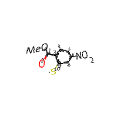 COC(=O)c1ccc([N+](=O)[O-])cc1[S]